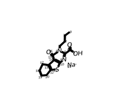 CCCCn1c(C(=O)O)nc2sc3c(c2c1=O)CCCC3.[Na]